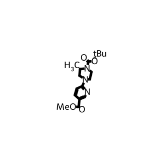 COC(=O)c1ccc(N2CCN(C(=O)OC(C)(C)C)[C@H](C)C2)nc1